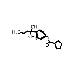 CCCC(C)(C)c1ccc(NC(=O)C2CCCC2)cc1